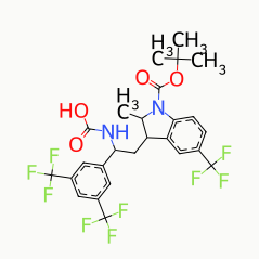 CC1C(CC(NC(=O)O)c2cc(C(F)(F)F)cc(C(F)(F)F)c2)c2cc(C(F)(F)F)ccc2N1C(=O)OC(C)(C)C